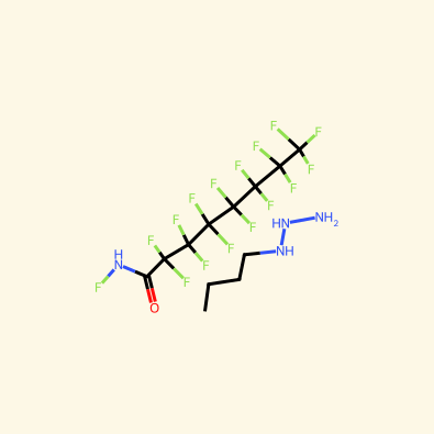 CCCCNNN.O=C(NF)C(F)(F)C(F)(F)C(F)(F)C(F)(F)C(F)(F)C(F)(F)C(F)(F)F